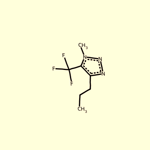 CCCc1nnn(C)c1C(F)(F)F